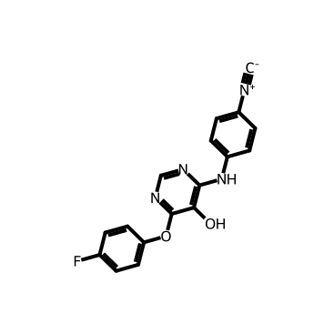 [C-]#[N+]c1ccc(Nc2ncnc(Oc3ccc(F)cc3)c2O)cc1